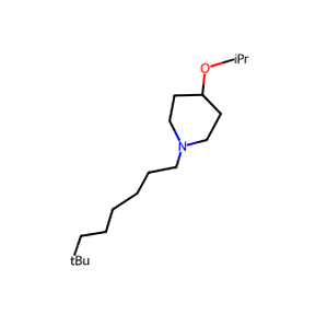 CC(C)OC1CCN(CCCCCCC(C)(C)C)CC1